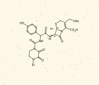 CCN1CCN(C(=O)NC(C(=O)N[C@@H]2C(=O)N3C(C(=O)O)=C(COC(C)=O)CS[C@H]23)c2ccc(O)cc2)C(=O)C1=O